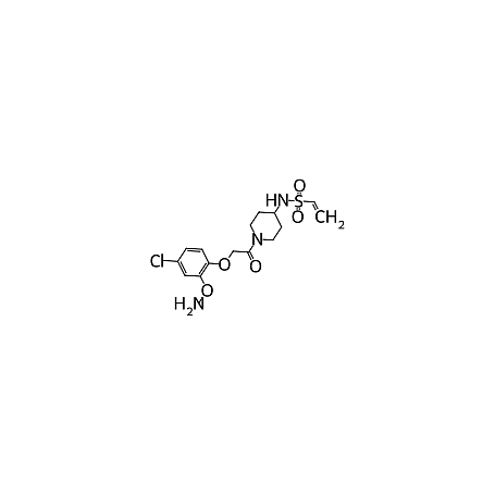 C=CS(=O)(=O)NC1CCN(C(=O)COc2ccc(Cl)cc2ON)CC1